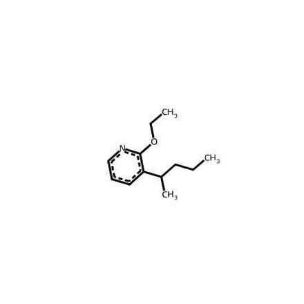 CCCC(C)c1cccnc1OCC